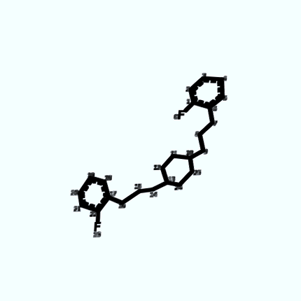 Fc1ccccc1CCCC1CCC(CCCc2ccccc2F)CC1